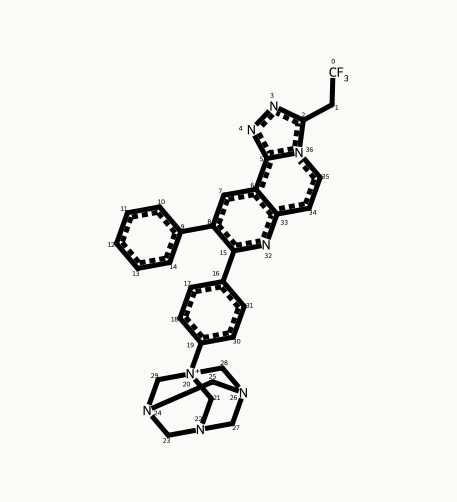 FC(F)(F)Cc1nnc2c3cc(-c4ccccc4)c(-c4ccc([N+]56CN7CN(CN(C7)C5)C6)cc4)nc3ccn12